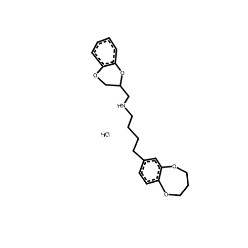 Cl.c1ccc2c(c1)OCC(CNCCCCc1ccc3c(c1)OCCCO3)O2